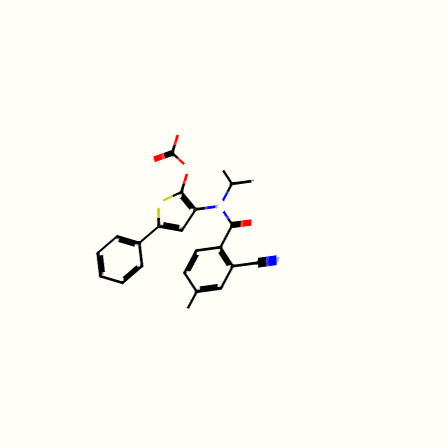 Cc1ccc(C(=O)N(c2cc(-c3ccccc3)sc2OC(=O)O)C(C)C)c(C#N)c1